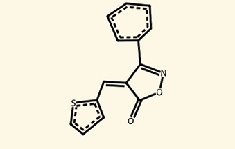 O=C1ON=C(c2ccccc2)/C1=C/c1cccs1